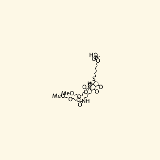 COCCOCCOC(=O)NCCCCC(NC(=O)OCCOCCOC)C(=O)C1C(=O)CC(SCCCCCCOP(C)(=O)O)C1=O